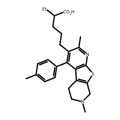 CCC(CCCc1c(C)nc2sc3c(c2c1-c1ccc(C)cc1)CCN(C)C3)C(=O)O